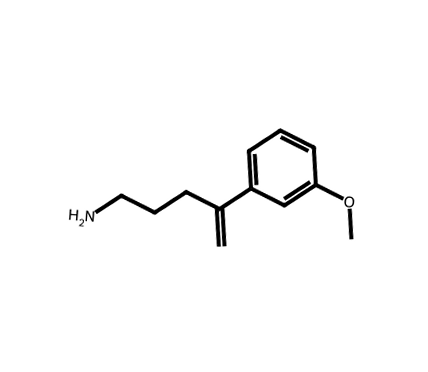 C=C(CCCN)c1cccc(OC)c1